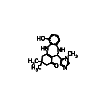 Cn1cncc1C1Nc2cccc(O)c2NC2=C1C(=O)CC(C)(C)C2